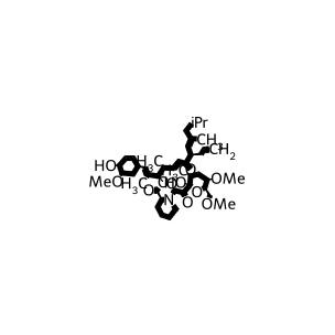 C=CC[C@H](/C=C(\C)CC(C)C)C(=O)/C=C/[C@@H](C)[C@H](OC(=O)[C@@H]1CCCCN1C(=O)C(=O)[C@]1(O)O[C@H](COC)[C@@H](OC)C[C@H]1C)/C(C)=C/[C@@H]1CC[C@@H](O)[C@H](OC)C1